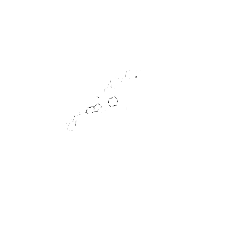 Cc1cc(C)cc(-c2[nH]c3sc(C(C)(C)C(=O)C4C5CCN4CC5)cc3c2C(=O)CCN2CCN(C3CCS(=O)(=O)C3)CC2)c1